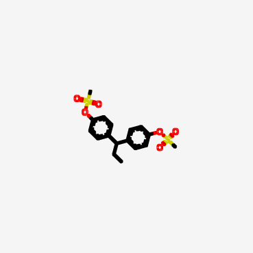 CCC(c1ccc(OS(C)(=O)=O)cc1)c1ccc(OS(C)(=O)=O)cc1